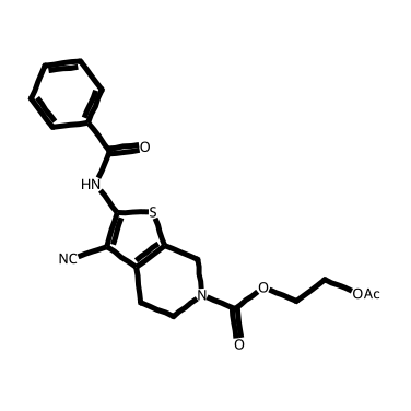 CC(=O)OCCOC(=O)N1CCc2c(sc(NC(=O)c3ccccc3)c2C#N)C1